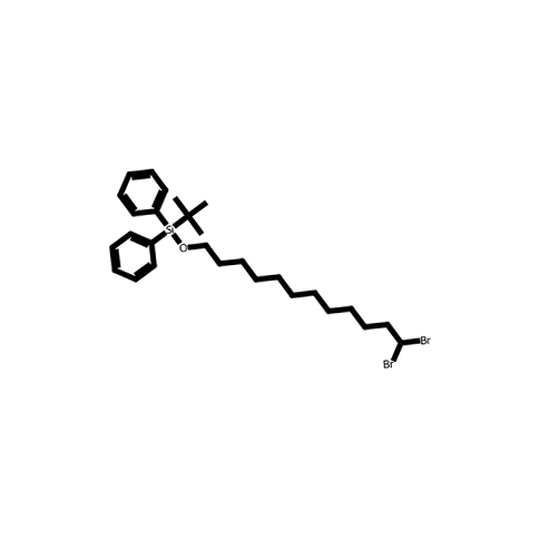 CC(C)(C)[Si](OCCCCCCCCCCCC(Br)Br)(c1ccccc1)c1ccccc1